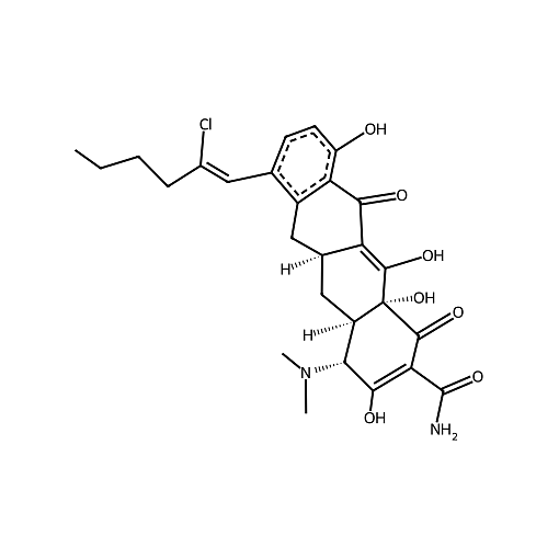 CCCC/C(Cl)=C/c1ccc(O)c2c1C[C@@H]1C[C@@H]3[C@@H](N(C)C)C(O)=C(C(N)=O)C(=O)[C@]3(O)C(O)=C1C2=O